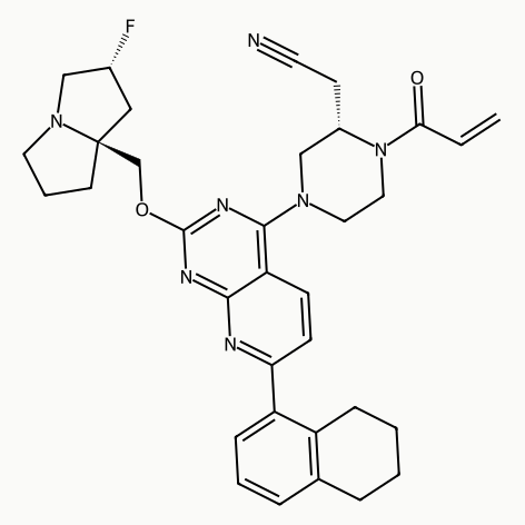 C=CC(=O)N1CCN(c2nc(OC[C@@]34CCCN3C[C@H](F)C4)nc3nc(-c4cccc5c4CCCC5)ccc23)C[C@@H]1CC#N